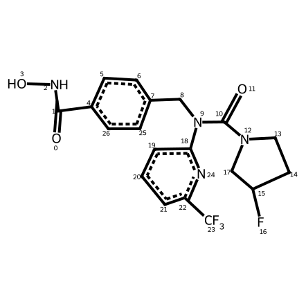 O=C(NO)c1ccc(CN(C(=O)N2CCC(F)C2)c2cccc(C(F)(F)F)n2)cc1